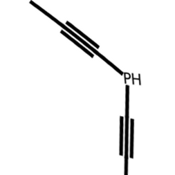 CC#CPC#CC